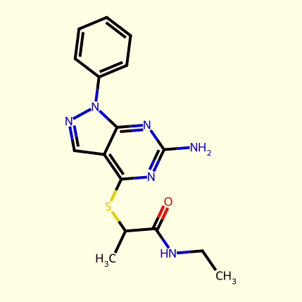 CCNC(=O)C(C)Sc1nc(N)nc2c1cnn2-c1ccccc1